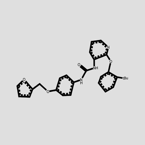 CC(C)(C)c1ccccc1Oc1ncccc1NC(=O)Nc1ccc(OCc2ccco2)cc1